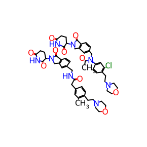 CC(=O)N(Cc1ccc2c(c1)CN(C1CCC(=O)NC1=O)C2=O)c1ccc(CCN2CCOCC2)c(Cl)c1.Cc1cc(CC(=O)NCc2ccc3c(c2)CN(C2CCC(=O)NC2=O)C3=O)ccc1CCN1CCOCC1